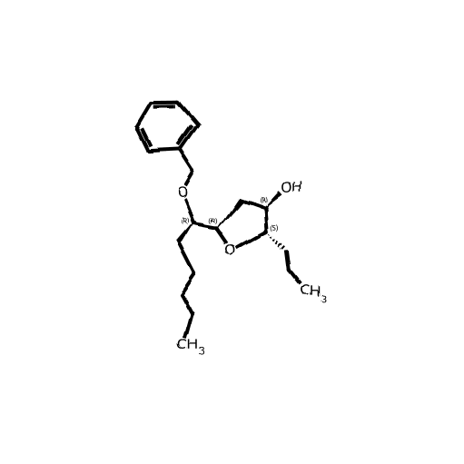 CCCCC[C@@H](OCc1ccccc1)[C@H]1C[C@@H](O)[C@H](CCC)O1